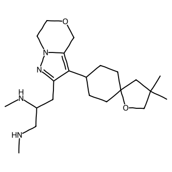 CNCC(Cc1nn2c(c1C1CCC3(CC1)CC(C)(C)CO3)COCC2)NC